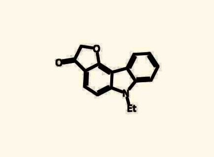 CCn1c2ccccc2c2c3c(ccc21)C(=O)CO3